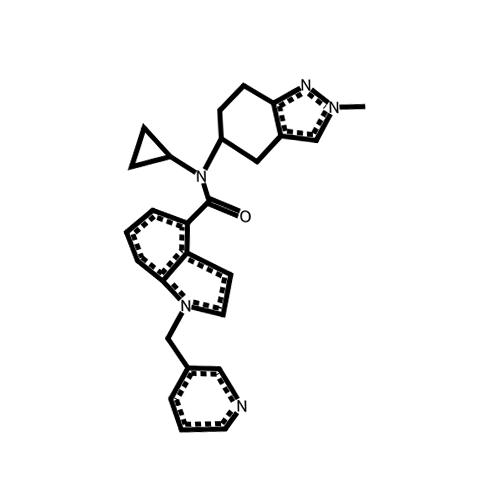 Cn1cc2c(n1)CCC(N(C(=O)c1cccc3c1ccn3Cc1cccnc1)C1CC1)C2